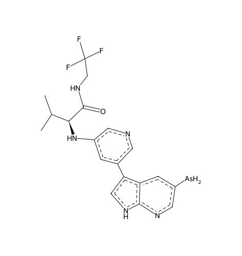 CC(C)[C@H](Nc1cncc(-c2c[nH]c3ncc([AsH2])cc23)c1)C(=O)NCC(F)(F)F